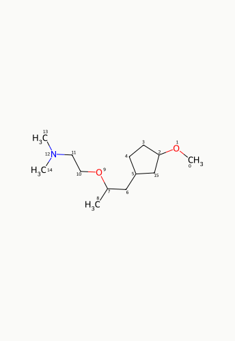 COC1CCC(CC(C)OCCN(C)C)C1